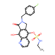 CCNS(=O)(=O)Oc1c2c(c(O)c3ncccc13)C(=O)N(Cc1ccc(F)cc1)C2